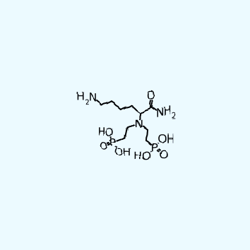 NCCCCC(C(N)=O)N(CCP(=O)(O)O)CCP(=O)(O)O